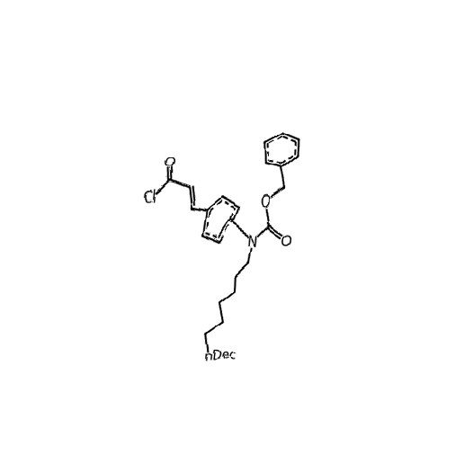 CCCCCCCCCCCCCCCCN(C(=O)OCc1ccccc1)c1ccc(C=CC(=O)Cl)cc1